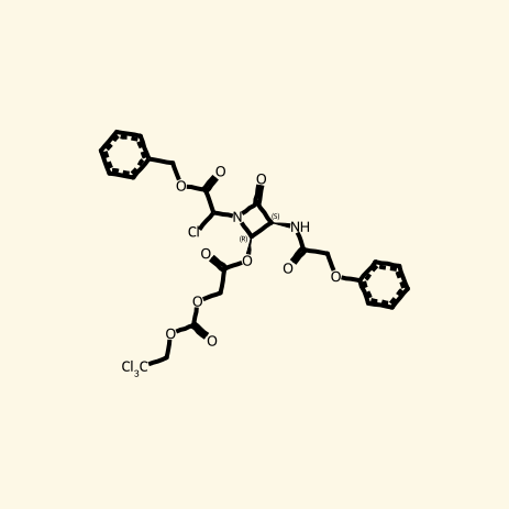 O=C(COc1ccccc1)N[C@@H]1C(=O)N(C(Cl)C(=O)OCc2ccccc2)[C@@H]1OC(=O)COC(=O)OCC(Cl)(Cl)Cl